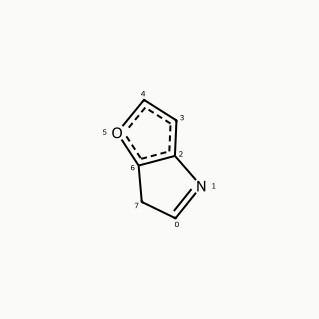 C1=Nc2ccoc2C1